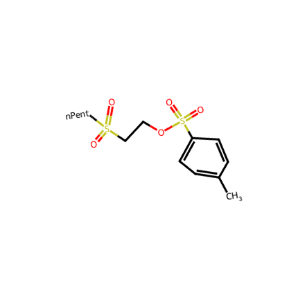 CCCCCS(=O)(=O)CCOS(=O)(=O)c1ccc(C)cc1